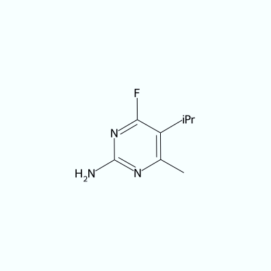 Cc1nc(N)nc(F)c1C(C)C